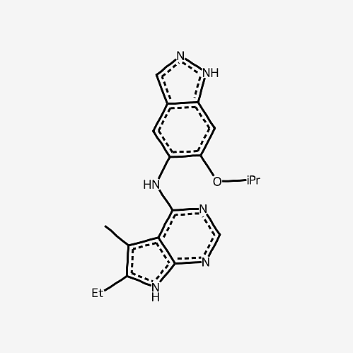 CCc1[nH]c2ncnc(Nc3cc4cn[nH]c4cc3OC(C)C)c2c1C